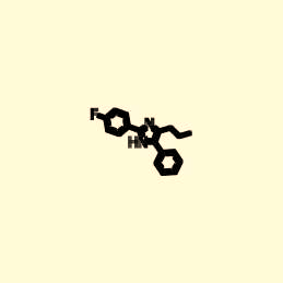 CCCc1nc(-c2ccc(F)cc2)[nH]c1-c1ccccc1